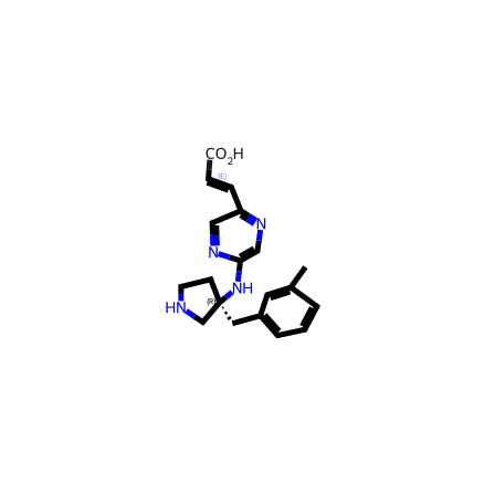 Cc1cccc(C[C@@]2(Nc3cnc(/C=C/C(=O)O)cn3)CCNC2)c1